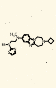 CCN(CCN(C)c1ccc2c(c1)nc1n2CCN(C2CCC2)CC1)c1nccs1